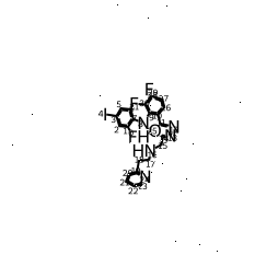 Fc1cc(I)ccc1Nc1c(-c2nnc(CNCCc3ccccn3)o2)ccc(F)c1F